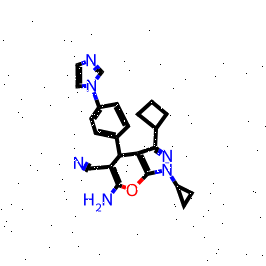 N#CC1=C(N)Oc2c(c(C3CCC3)nn2C2CC2)C1c1ccc(-n2ccnc2)cc1